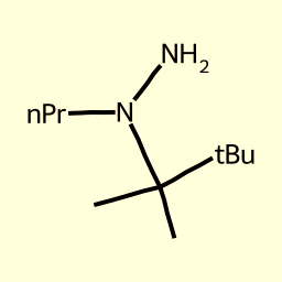 CCCN(N)C(C)(C)C(C)(C)C